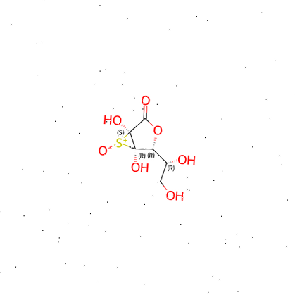 O=C1O[C@H]([C@H](O)CO)[C@@]2(O)[S+]([O-])[C@@]12O